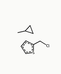 CC1CC1.ClCc1cccs1